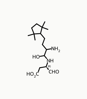 CC1(C)CCC(C)(C)C1CCC(N)C(O)N[C@@H](C=O)CC(=O)O